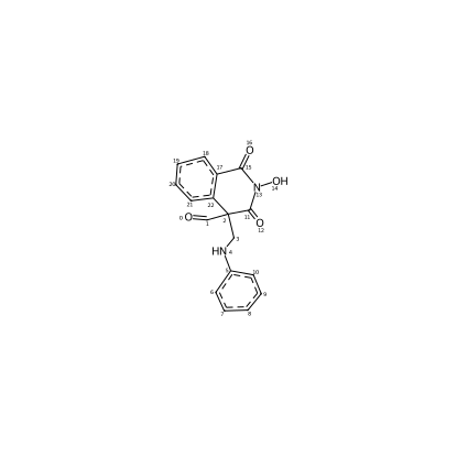 O=CC1(CNc2ccccc2)C(=O)N(O)C(=O)c2ccccc21